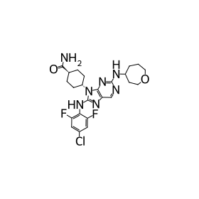 NC(=O)[C@H]1CC[C@H](n2c(Nc3c(F)cc(Cl)cc3F)nc3cnc(NC4CCCOCC4)nc32)CC1